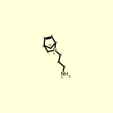 NCCCN1CC2C=CC1C2